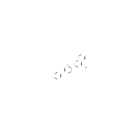 CCOc1ccc(-c2ccc(-c3cc(C(=O)O)c4cc(F)ccc4n3)c(F)c2F)cc1